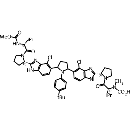 COC(=O)N[C@H](C(=O)N1CCC[C@H]1c1nc2c(Cl)c(C3CCC(c4ccc5[nH]c([C@@H]6CCCN6C(=O)[C@H](C(C)C)N(C)C(=O)O)nc5c4Cl)N3c3ccc(C(C)(C)C)cc3)ccc2[nH]1)C(C)C